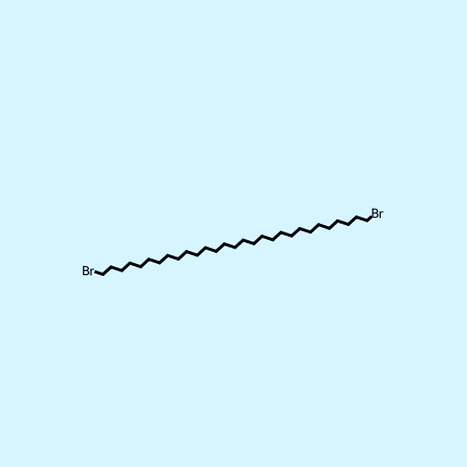 BrCCCCCCCCCCCCCCCCCCCCCCCCCCCCCBr